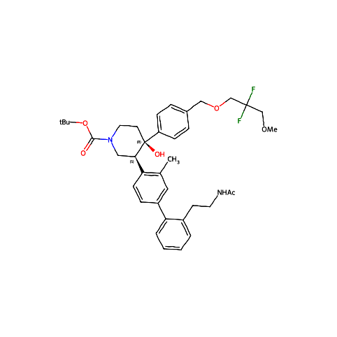 COCC(F)(F)COCc1ccc([C@@]2(O)CCN(C(=O)OC(C)(C)C)C[C@@H]2c2ccc(-c3ccccc3CCNC(C)=O)cc2C)cc1